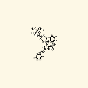 CC(C)(C)OC(=O)N1CCC(C2=NC(NC(=O)OCc3ccccc3)C(=O)Nc3ccccc32)CC1